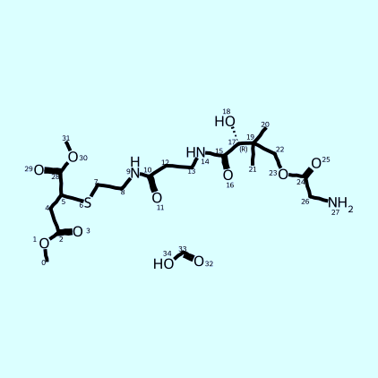 COC(=O)CC(SCCNC(=O)CCNC(=O)[C@H](O)C(C)(C)COC(=O)CN)C(=O)OC.O=CO